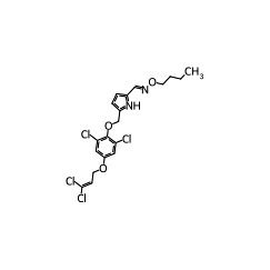 CCCCON=Cc1ccc(COc2c(Cl)cc(OCC=C(Cl)Cl)cc2Cl)[nH]1